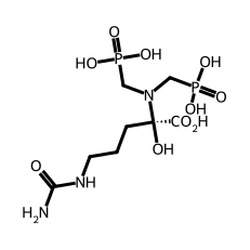 NC(=O)NCCC[C@@](O)(C(=O)O)N(CP(=O)(O)O)CP(=O)(O)O